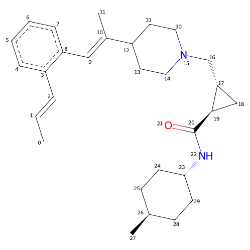 C/C=C/c1ccccc1/C=C(\C)C1CCN(C[C@@H]2C[C@H]2C(=O)N[C@H]2CC[C@H](C)CC2)CC1